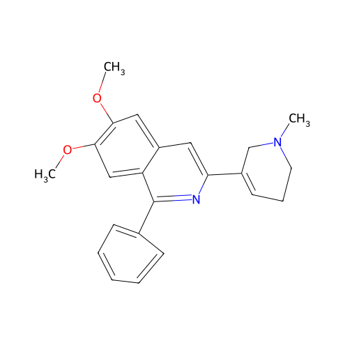 COc1cc2cc(C3=CCCN(C)C3)nc(-c3ccccc3)c2cc1OC